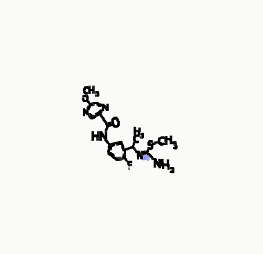 COc1cnc(C(=O)Nc2ccc(F)c(C(C)/N=C(/N)SC)c2)cn1